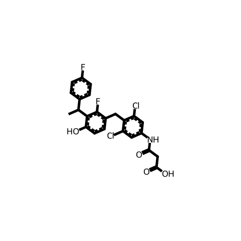 CC(c1ccc(F)cc1)c1c(O)ccc(Cc2c(Cl)cc(NC(=O)CC(=O)O)cc2Cl)c1F